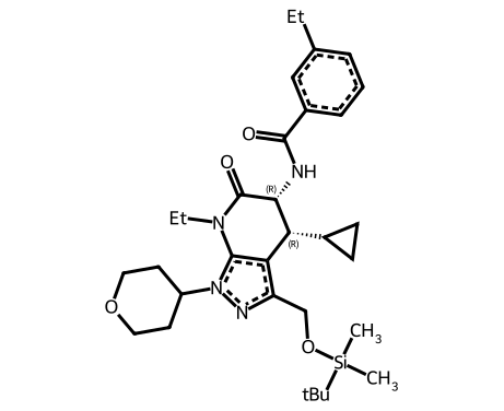 CCc1cccc(C(=O)N[C@H]2C(=O)N(CC)c3c(c(CO[Si](C)(C)C(C)(C)C)nn3C3CCOCC3)[C@H]2C2CC2)c1